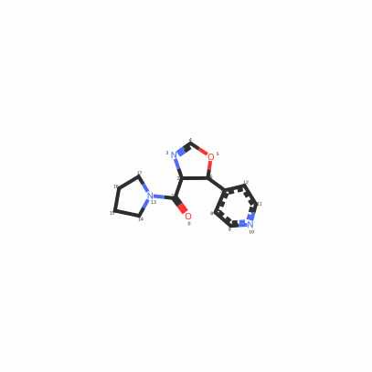 O=C(C1N=COC1c1ccncc1)N1CCCC1